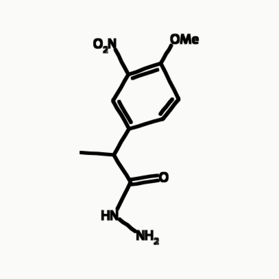 COc1ccc(C(C)C(=O)NN)cc1[N+](=O)[O-]